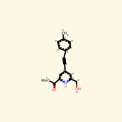 COC(=O)c1cc(C#Cc2ccc(C)cc2)cc(CO)n1